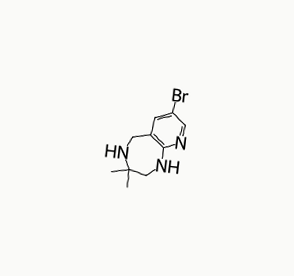 CC1(C)CNc2ncc(Br)cc2CN1